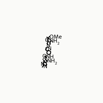 COCC(C)(C)OC1CN(c2ccc3c(n2)CCC(NC(=O)c2sc4nc(C)ncc4c2N)C3)CC1N